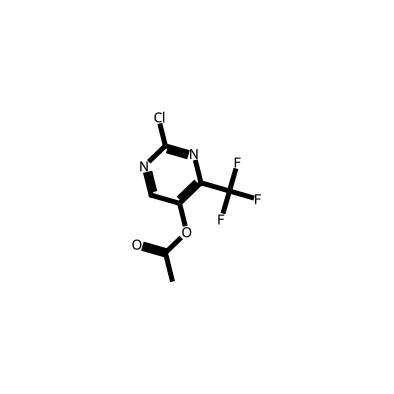 CC(=O)Oc1cnc(Cl)nc1C(F)(F)F